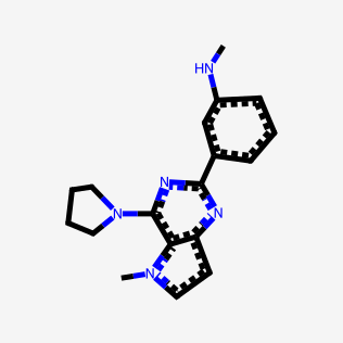 CNc1cccc(-c2nc(N3CCCC3)c3c(ccn3C)n2)c1